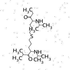 CCC(=O)C(CCCSCCCC(NC(C)C)C(=O)C(C)C)NC(C)C